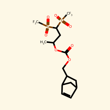 CC(CC(S(=O)(=O)C(F)(F)F)S(=O)(=O)C(F)(F)F)OC(=O)OCC1CC2C=CC1C2